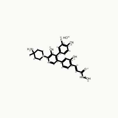 CC1(N)CCN(c2ncc(-c3ccc(/C=C/C(=O)NO)c(O)c3)c(-c3ccc(C#N)c(F)c3)c2C#N)CC1.Cl